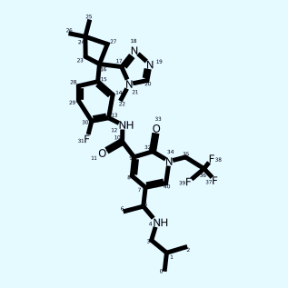 CC(C)CNC(C)c1cc(C(=O)Nc2cc(C3(c4nncn4C)CC(C)(C)C3)ccc2F)c(=O)n(CC(F)(F)F)c1